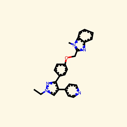 CCn1cc(-c2ccncc2)c(-c2ccc(OCc3nc4ccccc4n3C)cc2)n1